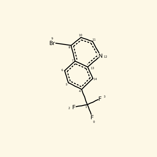 FC(F)(F)c1ccc2c(Br)ccnc2c1